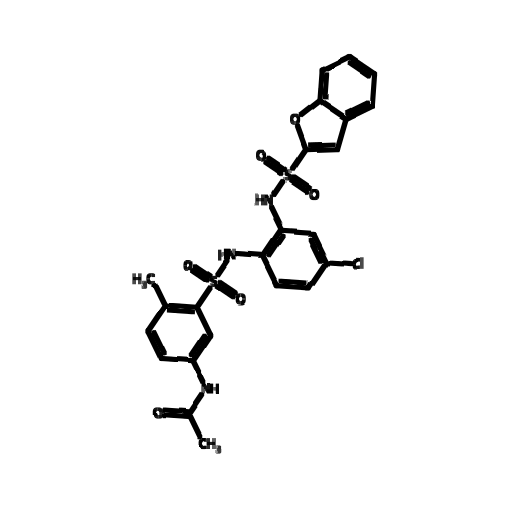 CC(=O)Nc1ccc(C)c(S(=O)(=O)Nc2ccc(Cl)cc2NS(=O)(=O)c2cc3ccccc3o2)c1